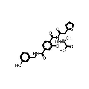 C[C@H](NN(C(=O)Cc1cccs1)C(=O)c1ccc(C(=O)NCc2cccc(O)c2)cc1Cl)C(=O)O